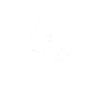 COc1ccccc1-c1nccc(COc2ccc3cc2C[C@H](C(=O)O)Oc2ncnc4sc5c6c(c7c(Cl)c(c(Cl)c(C)c7c5c24)O[C@H](CN2CCN(C)CC2)CO3)OCCO6)n1